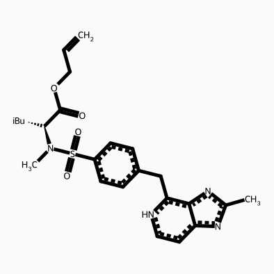 C=CCOC(=O)[C@H]([C@@H](C)CC)N(C)S(=O)(=O)c1ccc(Cc2[nH]ccc3nc(C)nc2-3)cc1